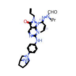 C=CCn1c(=O)c2cnc(Nc3ccc(N4CC5CCC(C4)N5)cc3)nc2n1C(/C=C\C)=N/N(C=O)C(C)C